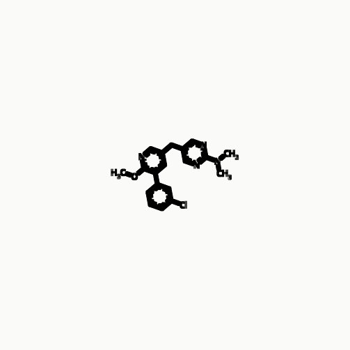 COc1ncc(Cc2cnc(N(C)C)nc2)cc1-c1cccc(Cl)c1